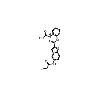 O=C(O)Nc1ccccc1NC(=O)c1cc2cc(NC(=O)CCl)ccc2s1